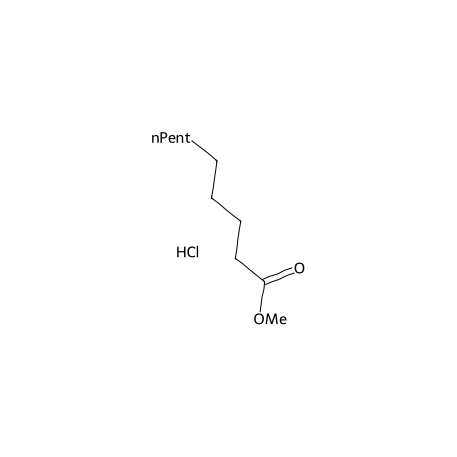 CCCCCCCCCC(=O)OC.Cl